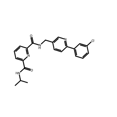 CC(C)NC(=O)c1cccc(C(=O)NCc2ccc(-c3cccc(Cl)c3)nc2)n1